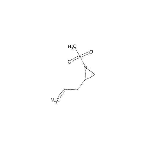 C=CCC1CN1S(C)(=O)=O